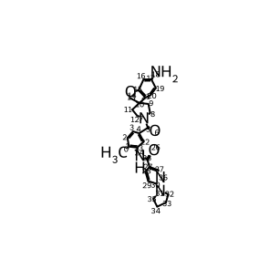 Cc1ccc(C(=O)N2CCC3(CC2)COc2cc(N)ccc23)cc1NC(=O)c1ccc(N2CCCC2)nc1